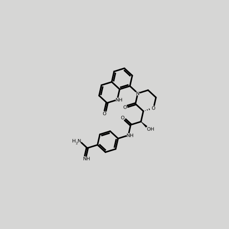 N=C(N)c1ccc(NC(=O)[C@H](O)[C@H]2OCCN(c3cccc4ccc(=O)[nH]c34)C2=O)cc1